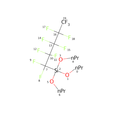 CCCO[Si](OCCC)(OCCC)C(F)(F)C(F)(F)C(F)(F)C(F)(F)C(F)(F)F